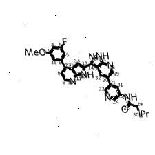 COc1cc(F)cc(-c2ccnc3[nH]c(-c4n[nH]c5ncc(-c6cncc(NC(=O)CC(C)C)c6)cc45)cc23)c1